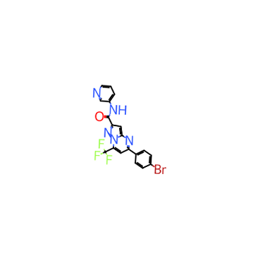 O=C(Nc1cccnc1)c1cc2nc(-c3ccc(Br)cc3)cc(C(F)(F)F)n2n1